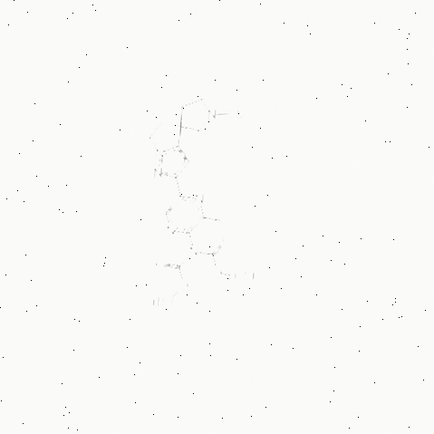 CC(C)(C)OC(=O)N(C(=O)OC(C)(C)C)c1ncc(-c2cc3n(n2)CC[C@@]32CCN(C(=O)O)C2)nc1C(F)(F)F